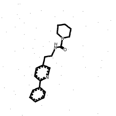 O=C(NCCc1ccc(-c2ccccc2)nc1)N1CCCCC1